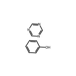 Oc1ccccc1.c1ncncn1